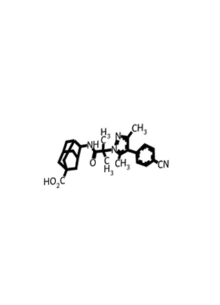 Cc1nn(C(C)(C)C(=O)NC2C3CC4CC2CC(C(=O)O)(C4)C3)c(C)c1-c1ccc(C#N)cc1